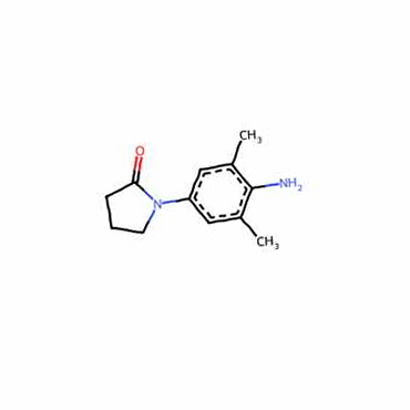 Cc1cc(N2CCCC2=O)cc(C)c1N